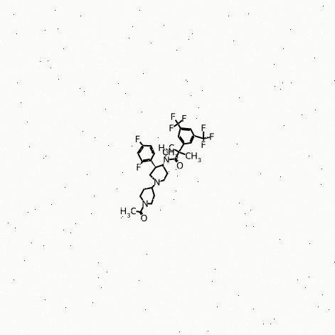 CC(=O)N1CCC(N2CC[C@@H](N(C)C(=O)C(C)(C)c3cc(C(F)(F)F)cc(C(F)(F)F)c3)[C@H](c3ccc(F)cc3F)C2)CC1